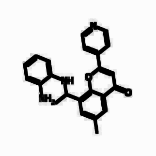 Cc1cc(C(C)Nc2ccccc2N)c2oc(-c3ccncc3)cc(=O)c2c1